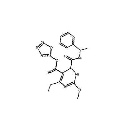 CCC1=C(C(=O)Oc2cnno2)C(C(=O)NC(C)c2ccccc2)NC(OC)=N1